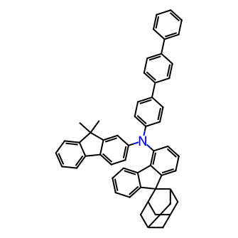 CC1(C)c2ccccc2-c2ccc(N(c3ccc(-c4ccc(-c5ccccc5)cc4)cc3)c3cccc4c3-c3ccccc3C43C4CC5CC(C4)CC3C5)cc21